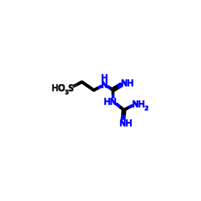 N=C(N)NC(=N)NCCS(=O)(=O)O